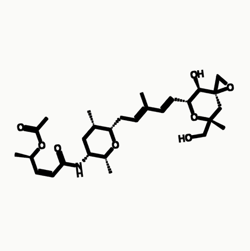 CC(=O)O[C@H](C)/C=C\C(=O)N[C@@H]1C[C@H](C)[C@H](C/C=C(C)/C=C/[C@H]2O[C@@](C)(CO)C[C@@]3(CO3)[C@@H]2O)O[C@@H]1C